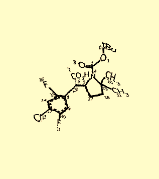 CC(C)(C)OC(=O)N1C([C@@H](C(=O)O)c2cc(F)c(Cl)cc2F)CCC1(C)C